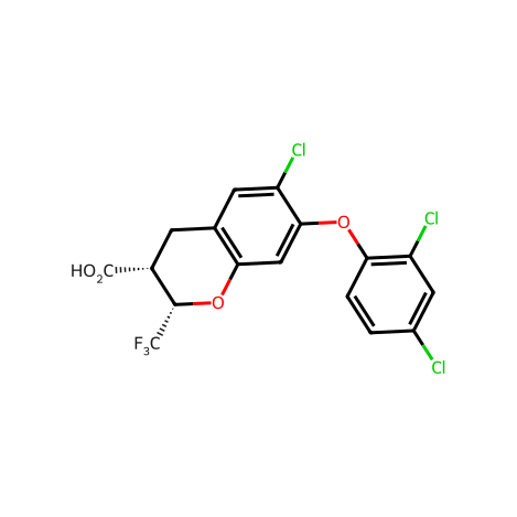 O=C(O)[C@@H]1Cc2cc(Cl)c(Oc3ccc(Cl)cc3Cl)cc2O[C@@H]1C(F)(F)F